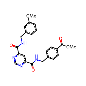 COC(=O)c1ccc(CNC(=O)c2cc(C(=O)NCc3cccc(OC)c3)ncn2)cc1